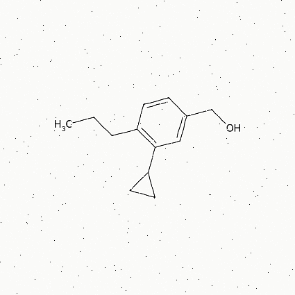 CCCc1ccc(CO)cc1C1CC1